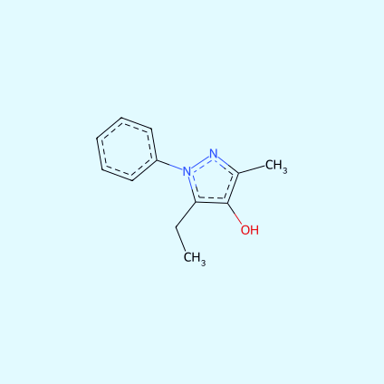 CCc1c(O)c(C)nn1-c1ccccc1